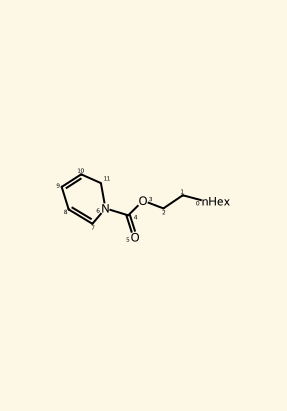 CCCCCCCCOC(=O)N1C=CC=CC1